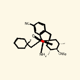 CO[C@H]1[C@H](C)C[C@@]2(Cc3ccc(C#N)cc3[C@]23N=C(N)N(CC2(F)CCCCC2)C3=O)C[C@@H]1C